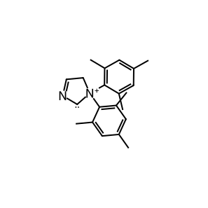 Cc1cc(C)c([N+]2(c3c(C)cc(C)cc3C)[C]N=CC2)c(C)c1